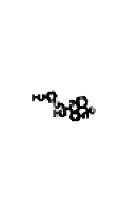 O=c1oc2cccc(C(O)C(O)COc3cccc(O)c3)c2c2c1CCCC2